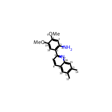 COc1cc(N)c(-c2ccc3cc(C)c(C)cc3n2)cc1OC